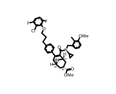 COC(=O)[C@@H]1C[C@@H]2CC(c3ccc(CCCOc4c(F)ccc(F)c4Cl)cc3)=C(C(=O)N(Cc3cccc(OC)c3C)C3CC3)[C@H](C1)N2